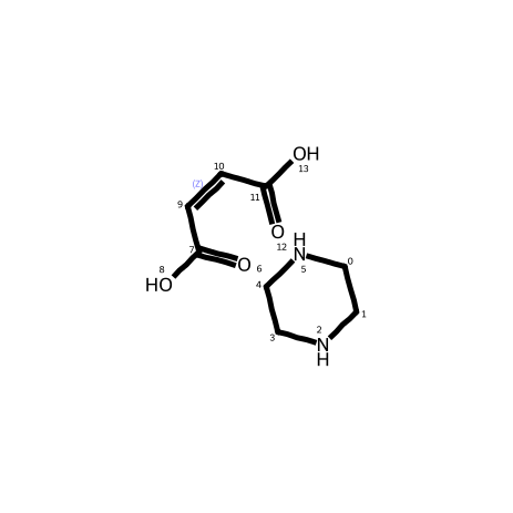 C1CNCCN1.O=C(O)/C=C\C(=O)O